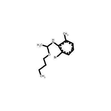 CCCCOC(C)Nc1c(C)cccc1Br